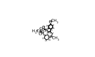 COc1ccc2c(CC(C)N3CCCCC3)cn(C(=O)OC(C)(C)C)c2c1